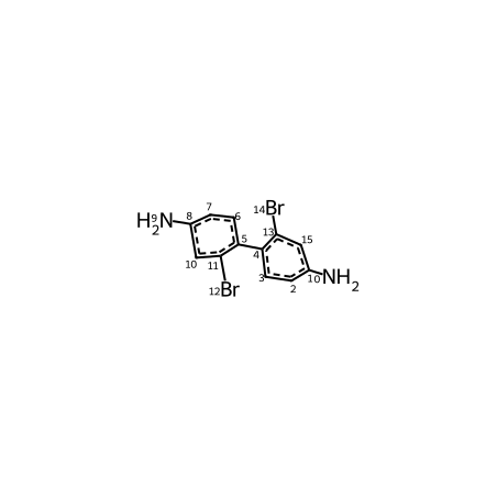 Nc1ccc(-c2ccc(N)cc2Br)c(Br)c1